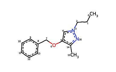 CCCn1cc(OCc2ccccc2)c(C)n1